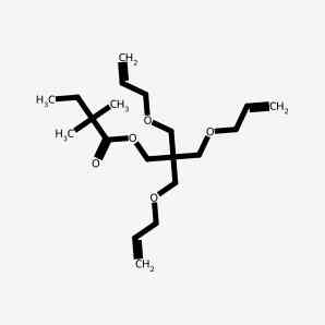 C=CCOCC(COCC=C)(COCC=C)COC(=O)C(C)(C)CC